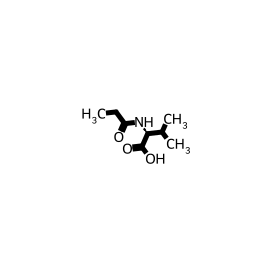 CCC(=O)N[C@@H](C(=O)O)C(C)C